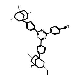 CC[C@@H]1C[C@@H]2C[C@H](C)CC(c3ccc(-c4nc(-c5ccc(C#N)cc5)nc(-c5ccc(C67C[C@H](C)C[C@H](C[C@H](C)C6)C7)cc5)n4)cc3)(C1)C2